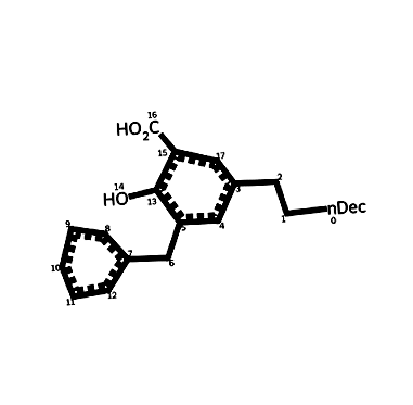 CCCCCCCCCCCCc1cc(Cc2ccccc2)c(O)c(C(=O)O)c1